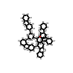 c1ccc2c(c1)oc1cc(-c3ccc4c(c3)sc3ccccc34)cc(-c3ccc4oc5cccc(-c6nc(-c7ccc8c(c7)sc7ccccc78)nc(-c7ccc8c(c7)sc7ccccc78)n6)c5c4c3)c12